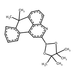 CC1(C)c2ccccc2-c2cc(B3OC(C)(C)C(C)(C)O3)nc3cccc1c23